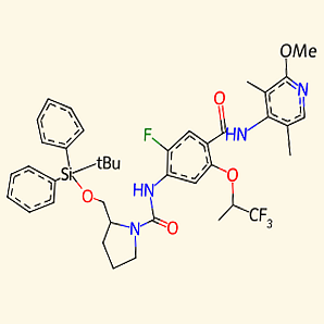 COc1ncc(C)c(NC(=O)c2cc(F)c(NC(=O)N3CCCC3CO[Si](c3ccccc3)(c3ccccc3)C(C)(C)C)cc2OC(C)C(F)(F)F)c1C